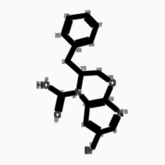 O=C(O)N1c2cc(Br)cnc2OCC1Cc1ccccc1